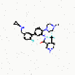 CN1CCN(c2ccc(-c3cc(CNC4CC4)ccc3F)cc2NC(=O)C2=CNCC=C2C(F)(F)F)CC1